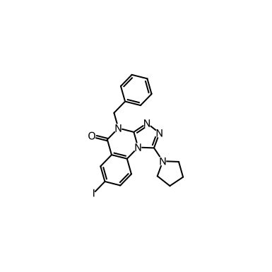 O=c1c2cc(I)ccc2n2c(N3CCCC3)nnc2n1Cc1ccccc1